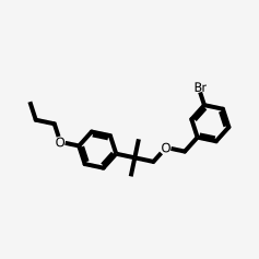 CCCOc1ccc(C(C)(C)COCc2cccc(Br)c2)cc1